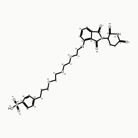 O=C1CCC(N2C(=O)c3cccc(SCCOCCOCCOCCCc4ccc(S(=O)(=O)O)cc4)c3C2=O)C(=O)N1